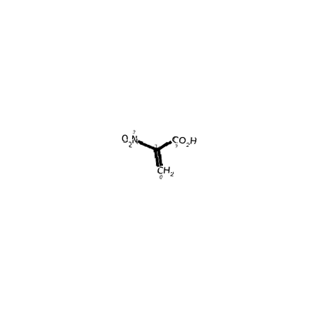 C=C(C(=O)O)[N+](=O)[O-]